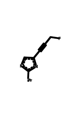 CC(C)c1nc(C#CCF)cs1